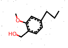 CCCc1ccc(CO)c(OC)c1